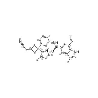 Cc1c[nH]c2c(C=O)cc(C(=O)Nc3cccc(C4(c5nncn5C)CC(CC#N)C4)c3)nc12